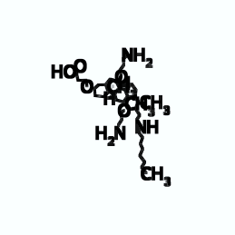 CCCCCCCCNCCC[C@@H](C)[C@H]1CC[C@H]2C3[C@H](OCCCN)CC4C[C@H](OCCC(=O)O)CC[C@]4(C)[C@H]3C[C@H](OCCCN)C12C